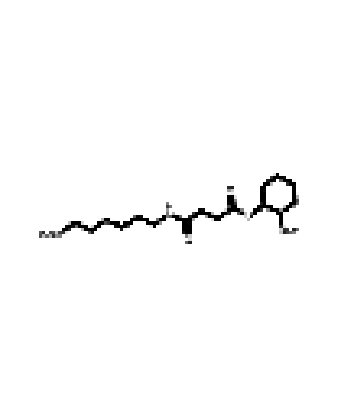 CCCCCCCCCCCCCCCCNC(=O)CCC(=O)OC1CCCCC1OC